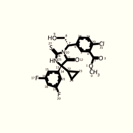 COC(=O)c1cc([C@@H](CO)N2C(=O)[C@](c3cc(F)cc(F)c3)(C3CC3)NC2=S)ccc1Cl